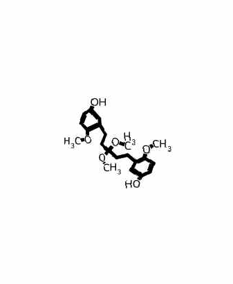 COc1ccc(O)cc1CCC(CCc1cc(O)ccc1OC)(OC)OC